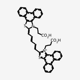 O=C(O)CCN1\C(=C/C=C/C=C/c2sc3c4ccccc4c4ccccc4c3[n+]2CCC(=O)O)Sc2c1c1ccccc1c1ccccc21